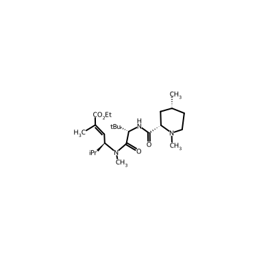 CCOC(=O)/C(C)=C/[C@H](C(C)C)N(C)C(=O)[C@@H](NC(=O)[C@@H]1C[C@H](C)CCN1C)C(C)(C)C